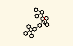 c1ccc(-c2ccccc2N(c2ccc(-c3ccc4c(-c5ccccc5)c(-c5ccccc5)c5ccccc5c4c3)cc2)c2ccc(-c3cccc(-c4ccccc4)c3-c3ccccc3)cc2)cc1